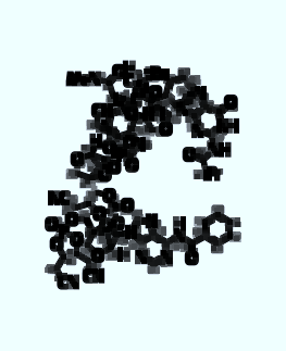 CNC(=O)CCOC1[C@@H](COP(=O)(OCCC#N)OC2[C@@H]3OC[C@]2(COP(=O)(OCCC#N)OC2[C@@H]4OC[C@]2(COP(=O)(OCCC#N)OCCC#N)O[C@H]4n2cnc4c(NC(=O)c5ccccc5)ncnc42)O[C@H]3n2cnc3c(NC(=O)c4ccccc4)ncnc32)O[C@@H](n2cnc3c(=O)[nH]c(NC(=O)C(C)C)nc32)[C@H]1O[Si](C)(C)C(C)(C)C